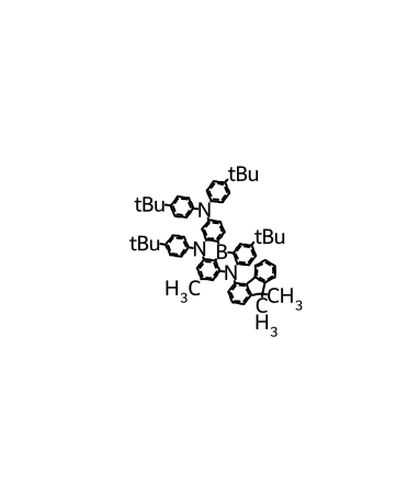 Cc1cc2c3c(c1)N(c1cccc4c1-c1ccccc1C4(C)C)c1ccc(C(C)(C)C)cc1B3c1ccc(N(c3ccc(C(C)(C)C)cc3)c3ccc(C(C)(C)C)cc3)cc1N2c1ccc(C(C)(C)C)cc1